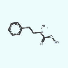 CCCOC(=O)[C@@H](N)CCc1ccccc1